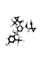 N#CC1(NC(=O)[C@@H]2C[C@@H](S(=O)(=O)c3ccc(Br)cc3C(F)(F)F)CN2C(=O)C2(C(F)(F)F)CC2)CC1